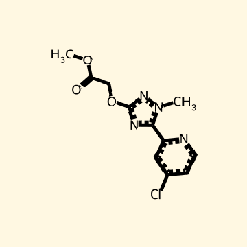 COC(=O)COc1nc(-c2cc(Cl)ccn2)n(C)n1